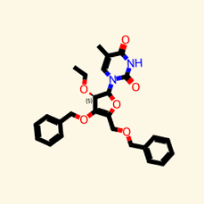 CCO[C@H]1C(OCc2ccccc2)=C(COCc2ccccc2)OC1n1cc(C)c(=O)[nH]c1=O